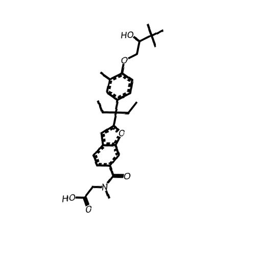 CCC(CC)(c1ccc(OCC(O)C(C)(C)C)c(C)c1)c1cc2ccc(C(=O)N(C)CC(=O)O)cc2o1